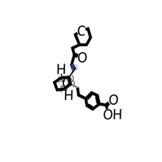 O=C(/C=C/[C@H]1[C@H](CCc2ccc(C(=O)O)cc2)[C@H]2CC[C@@H]1O2)CC1CCCCC1